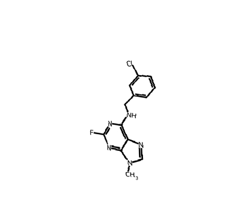 Cn1cnc2c(NCc3cccc(Cl)c3)nc(F)nc21